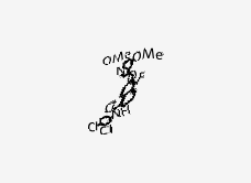 COc1cc2nccc(Oc3ccc4c(C(=O)Nc5ccc(Cl)c(Cl)c5)cccc4c3F)c2cc1OC